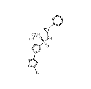 CCc1cc(-c2ccc(S(=O)(=O)N[C@H]3C[C@@H]3c3ccccc3)s2)no1.O=C(O)O